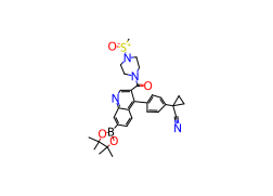 C[S+]([O-])N1CCN(C(=O)c2cnc3cc(B4OC(C)(C)C(C)(C)O4)ccc3c2-c2ccc(C3(C#N)CC3)cc2)CC1